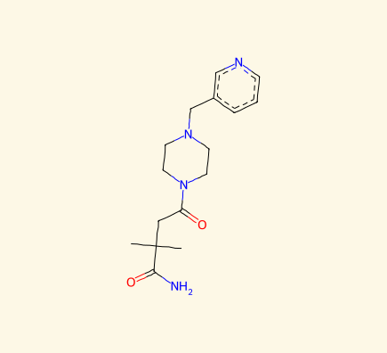 CC(C)(CC(=O)N1CCN(Cc2cccnc2)CC1)C(N)=O